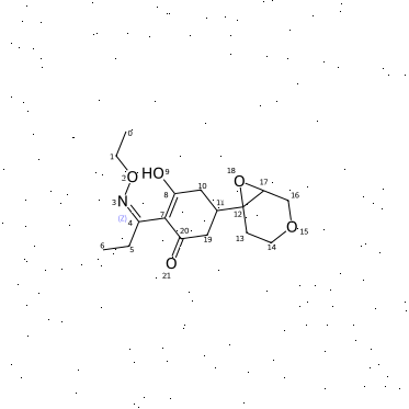 CCO/N=C(/CC)C1=C(O)CC(C23CCOCC2O3)CC1=O